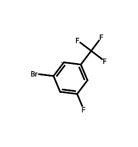 Fc1cc(Br)[c]c(C(F)(F)F)c1